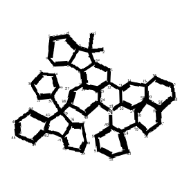 CC1(C)c2ccccc2-c2ccc(C3=CC4C=CC=CC4C=C3N(c3cccc(C4(c5ccccc5)c5ccccc5-c5ccccc54)c3)c3ccccc3-c3ccccc3)cc21